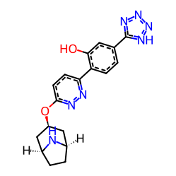 Oc1cc(-c2nnn[nH]2)ccc1-c1ccc(O[C@H]2C[C@H]3CC[C@@H](C2)N3)nn1